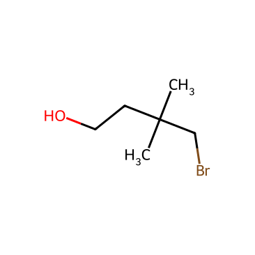 CC(C)(CBr)CCO